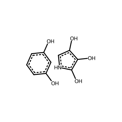 Oc1c[nH]c(O)c1O.Oc1cccc(O)c1